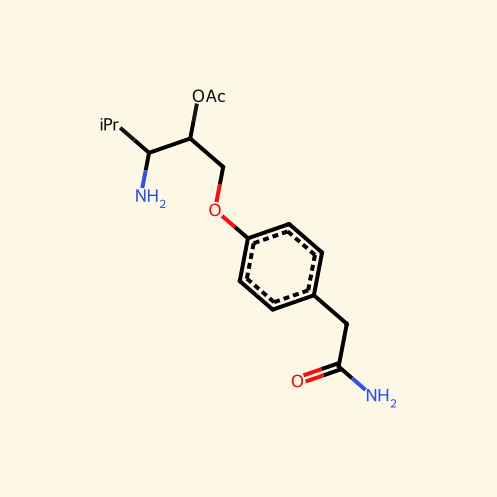 CC(=O)OC(COc1ccc(CC(N)=O)cc1)C(N)C(C)C